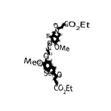 CCOC(=O)CCC(=O)c1cc2cc(OCCCOc3c(OC)cc4c(c3F)CN(C(=O)CCC(=O)OCC)C4)c(OC)cc2[se]1